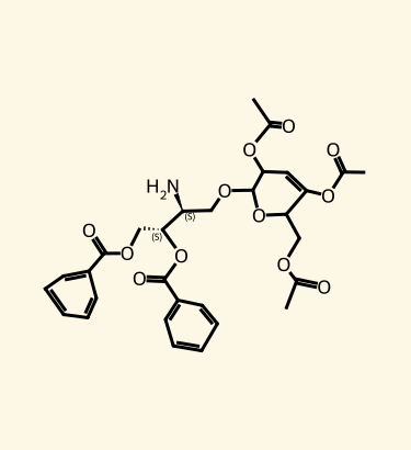 CC(=O)OCC1OC(OC[C@H](N)[C@@H](COC(=O)c2ccccc2)OC(=O)c2ccccc2)C(OC(C)=O)C=C1OC(C)=O